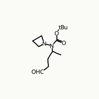 CC(CCC=O)N(C(=O)OC(C)(C)C)N1CCC1